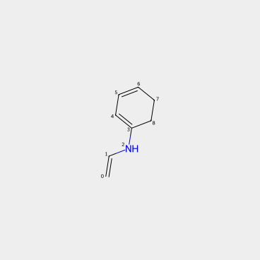 C=CNC1=CC=CCC1